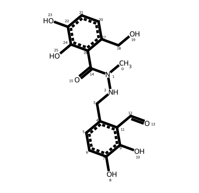 CN(NCc1ccc(O)c(O)c1C=O)C(=O)c1c(CO)ccc(O)c1O